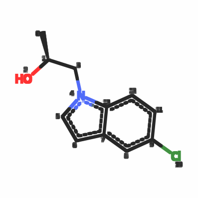 C[C@H](O)Cn1ccc2cc(Cl)ccc21